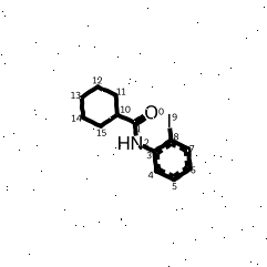 O=C(Nc1ccccc1I)C1CCCCC1